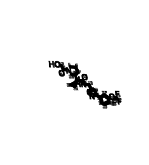 O=C(CO)N1CCC[C@@H](N(C(=O)NCc2cc(-c3cccc(OC(F)(F)F)c3)no2)C2CC2)C1